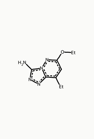 CCOc1cc(CC)c2nnc(N)n2n1